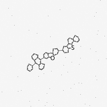 c1ccc(-c2c3ccccc3c(-c3ccc4c(c3)oc3cc(-c5ccc6sc7c8ccccc8ccc7c6c5)ccc34)c3ccccc23)cc1